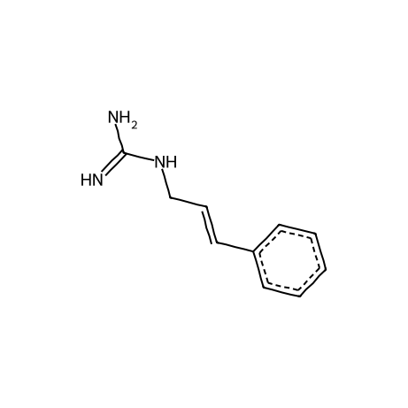 N=C(N)NC/C=C/c1ccccc1